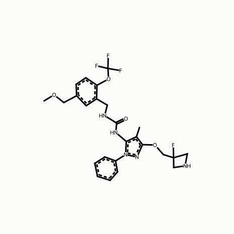 COCc1ccc(OC(F)(F)F)c(CNC(=O)Nc2c(C)c(OCC3(F)CNC3)nn2-c2ccccc2)c1